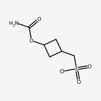 NC(=O)OC1CC(CS(=O)(=O)Cl)C1